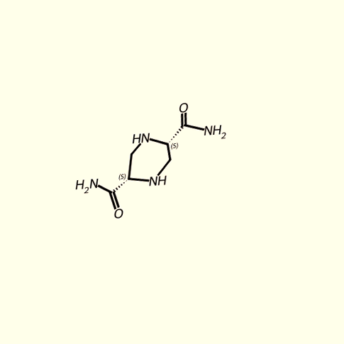 NC(=O)[C@@H]1CN[C@H](C(N)=O)CN1